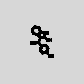 N=C(c1ccc(O)cc1)c1c(O)[nH]c2ccccc12